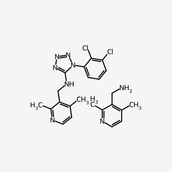 Cc1ccnc(C)c1CN.Cc1ccnc(C)c1CNc1nnnn1-c1cccc(Cl)c1Cl